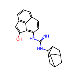 N=C(Nc1ccc2cccc3c2c1C(O)=C3)NC1C2CC3CC(C2)CC1C3